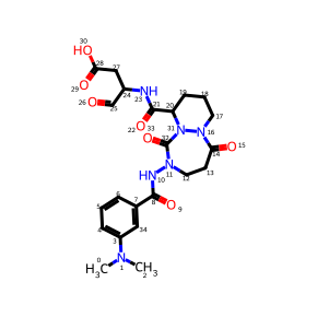 CN(C)c1cccc(C(=O)NN2CCC(=O)N3CCCC(C(=O)NC(C=O)CC(=O)O)N3C2=O)c1